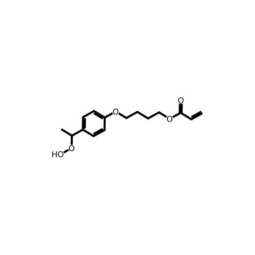 C=CC(=O)OCCCCOc1ccc(C(C)OO)cc1